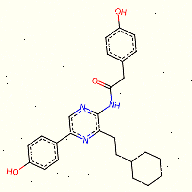 O=C(Cc1ccc(O)cc1)Nc1ncc(-c2ccc(O)cc2)nc1CCC1CCCCC1